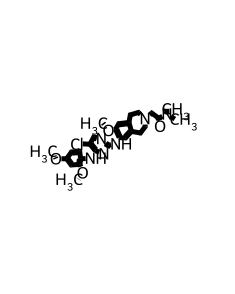 COc1ccc(Nc2nc(Nc3cc4c(cc3OC)CCN(CC(=O)N(C)C)CC4)ncc2Cl)c(OC)c1